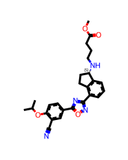 COC(=O)CCCN[C@H]1CCc2c(-c3noc(-c4ccc(OC(C)C)c(C#N)c4)n3)cccc21